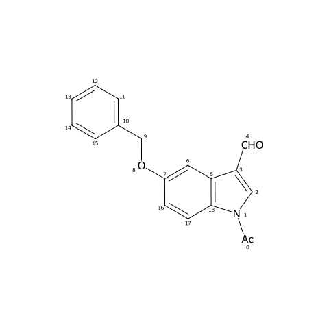 CC(=O)n1cc(C=O)c2cc(OCc3ccccc3)ccc21